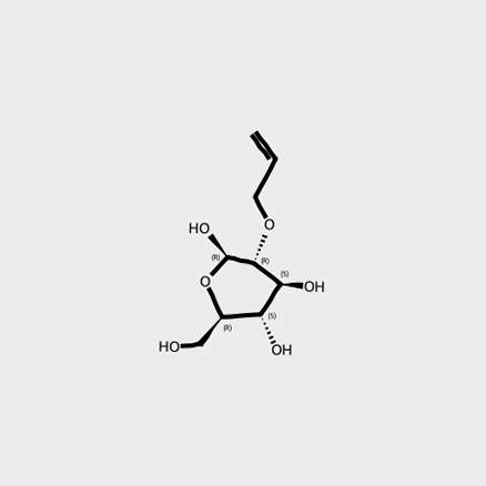 C=CCO[C@@H]1[C@@H](O)[C@H](O)[C@@H](CO)O[C@H]1O